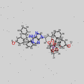 COc1ccc(C(Nc2ncnc3c2ncn3C(COCP(=O)(OC(C)C)OC(C)C)CC(C)OC(c2ccccc2)(c2ccccc2)c2ccc(OC)cc2)(c2ccccc2)c2ccccc2)cc1